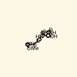 COc1ccccc1CNC(=O)CCN1CCC(NC[C@@H](O[Si](C)(C)C(C)(C)C)c2ccc(O)c3[nH]c(=O)ccc23)CC1